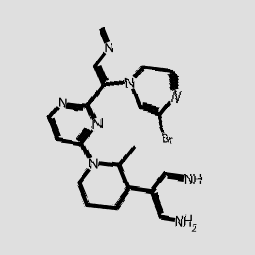 C=N/C=C(/c1nccc(N2CCCC(/C(C=N)=C/N)C2C)n1)N1C=C(Br)N=CC1